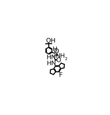 CC(C)(O)c1cccc([SH](N)(=O)NC(=O)Nc2c3c(c(F)c4c2CCC4)CCC3)c1